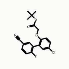 CC(C)(C)OC(=O)COc1ccc(Cl)cc1-c1cc(C#N)ccc1F